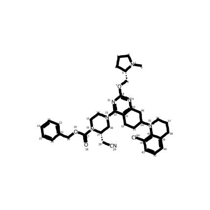 CN1CCC[C@H]1COc1nc2c(c(N3CCN(C(=O)OCc4ccccc4)[C@@H](CC#N)C3)n1)CCC(N1CCCc3cccc(Cl)c31)C2